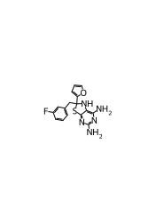 Nc1nc(N)c2c(n1)SC(Cc1cccc(F)c1)(c1ccco1)N2